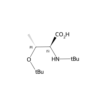 C[C@@H](OC(C)(C)C)[C@H](NC(C)(C)C)C(=O)O